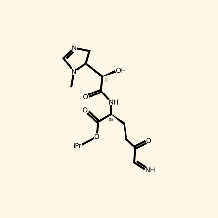 CC(C)OC(=O)[C@H](CCC(=O)C=N)NC(=O)[C@H](O)C1CN=CN1C